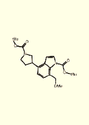 COCc1ccc(C2CCN(C(=O)OC(C)(C)C)C2)c2ccn(C(=O)OC(C)(C)C)c12